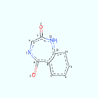 O=c1[c]nc(=O)c2ccccc2[nH]1